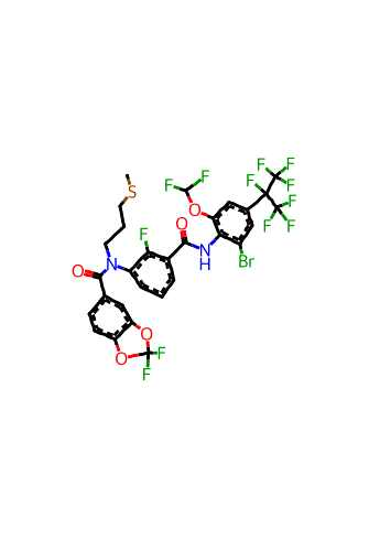 CSCCCN(C(=O)c1ccc2c(c1)OC(F)(F)O2)c1cccc(C(=O)Nc2c(Br)cc(C(F)(C(F)(F)F)C(F)(F)F)cc2OC(F)F)c1F